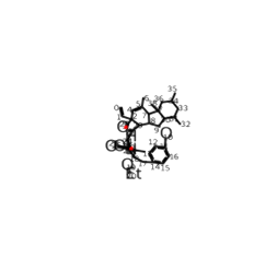 C=CC1(C)C=C(C)C2C3C(Oc4ccc(cc4)CC4(OCC)NC(=O)C5(OC45)C(=O)C31)C1C(C)CC(C)CC21C